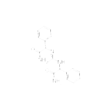 C/C(=N\C(C(N)=O)c1ccccc1)NC(C(N)=O)c1ccccc1